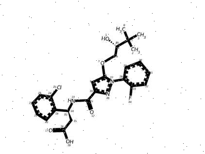 CC(C)(C)[C@@H](O)COc1cc(C(=O)N[C@@H](CC(=O)O)c2ccccc2Cl)nn1-c1ccccc1F